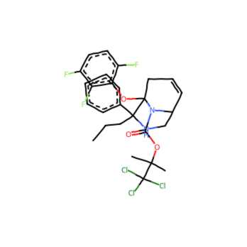 CCCC1(c2ccccc2)NCC2C=CCC1(Oc1c(F)ccc(F)c1F)N2C(=O)OC(C)(C)C(Cl)(Cl)Cl